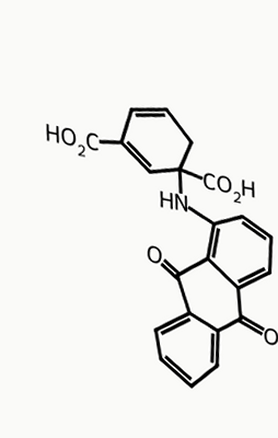 O=C(O)C1=CC(Nc2cccc3c2C(=O)c2ccccc2C3=O)(C(=O)O)CC=C1